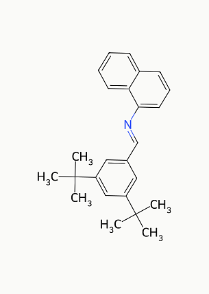 CC(C)(C)c1cc(/C=N/c2cccc3ccccc23)cc(C(C)(C)C)c1